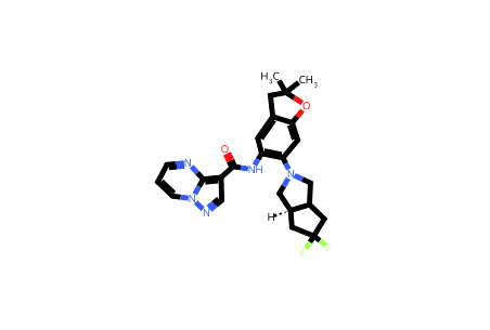 CC1(C)Cc2cc(NC(=O)c3cnn4cccnc34)c(N3CC4CC(F)(F)C[C@H]4C3)cc2O1